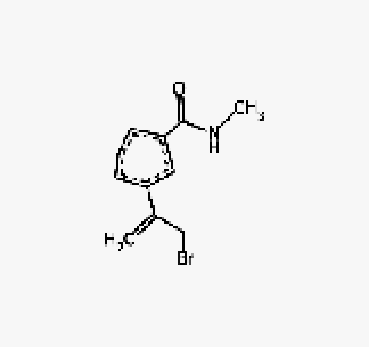 C=C(CBr)c1cccc(C(=O)NC)c1